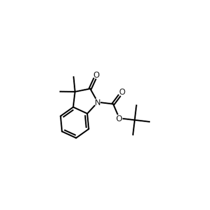 CC(C)(C)OC(=O)N1C(=O)C(C)(C)c2ccccc21